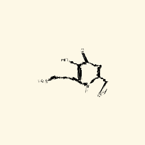 O=c1cc(CO)[nH]c(CCS(=O)(=O)O)c1O